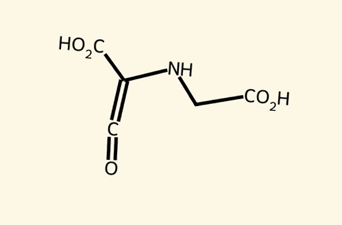 O=C=C(NCC(=O)O)C(=O)O